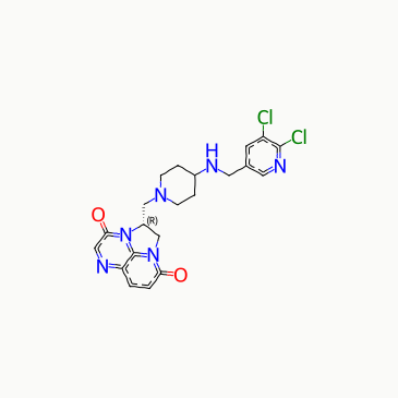 O=c1ccc2ncc(=O)n3c2n1C[C@H]3CN1CCC(NCc2cnc(Cl)c(Cl)c2)CC1